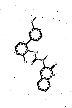 COc1cccc(-c2ccnc(Cl)c2NC(=O)N(C)c2cc3cccnc3[nH]c2=O)c1